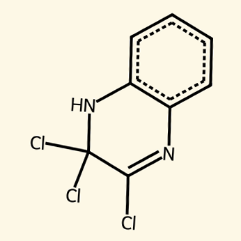 ClC1=Nc2ccccc2NC1(Cl)Cl